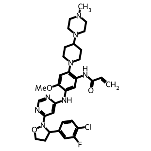 C=CC(=O)Nc1cc(Nc2cc(N3OCCC3c3ccc(Cl)c(F)c3)ncn2)c(OC)cc1N1CCC(N2CCN(C)CC2)CC1